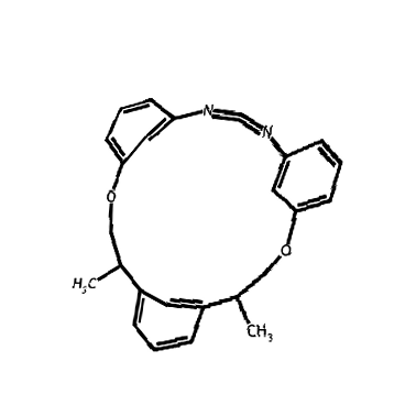 CC1COc2cccc(c2)N=C=Nc2cccc(c2)OCC(C)c2cccc1c2